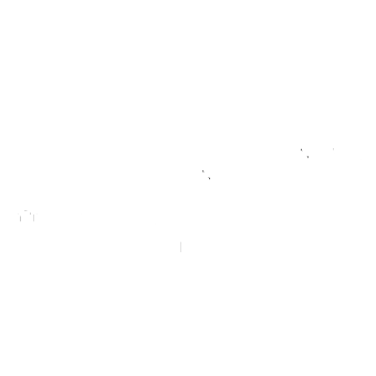 CCCc1ccc(N2CCN(C)CC2)c(F)c1